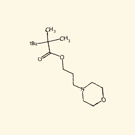 CC(C)(C)C(C)(C)C(=O)OCCCN1CCOCC1